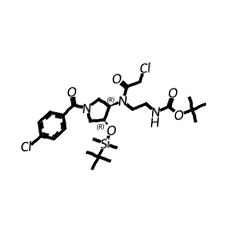 CC(C)(C)OC(=O)NCCN(C(=O)CCl)[C@@H]1CN(C(=O)c2ccc(Cl)cc2)C[C@H]1O[Si](C)(C)C(C)(C)C